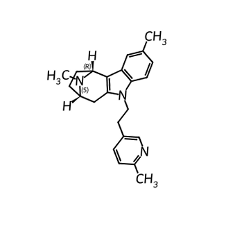 Cc1ccc2c(c1)c1c(n2CCc2ccc(C)nc2)C[C@@H]2CC[C@H]1N2C